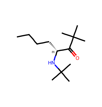 CCCC[C@@H](NC(C)(C)C)C(=O)C(C)(C)C